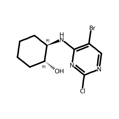 O[C@@H]1CCCC[C@H]1Nc1nc(Cl)ncc1Br